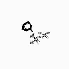 O=P(O)(O)OOP(=O)(O)NSc1ccccc1